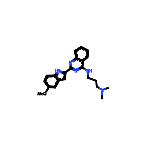 COc1ccc2[nH]c(-c3nc(NCCCN(C)C)c4ccccc4n3)cc2c1